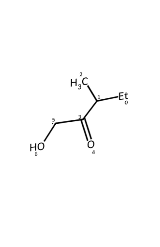 CCC(C)C(=O)[CH]O